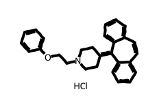 C1=Cc2ccccc2C(=C2CCN(CCOc3ccccc3)CC2)c2ccccc21.Cl